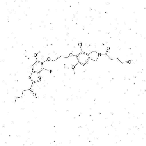 CCCCC(=O)c1cc2c(F)c(OCCCOc3c(OC)cc4c(c3Cl)CN(C(=O)CCC=O)C4)c(OC)cc2s1